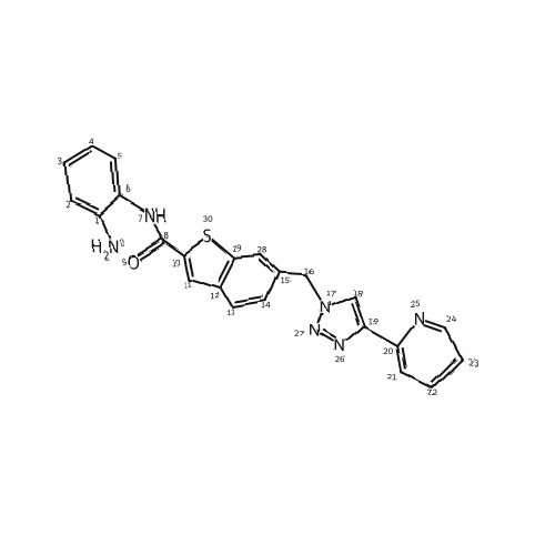 Nc1ccccc1NC(=O)c1cc2ccc(Cn3cc(-c4ccccn4)nn3)cc2s1